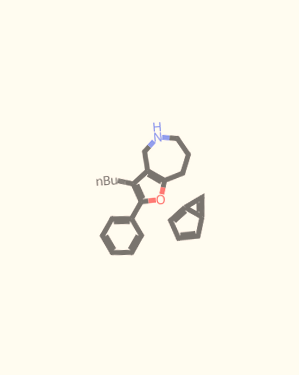 CCCCc1c(-c2ccccc2)oc2c1CNCCC2.c1cc2cc-2c1